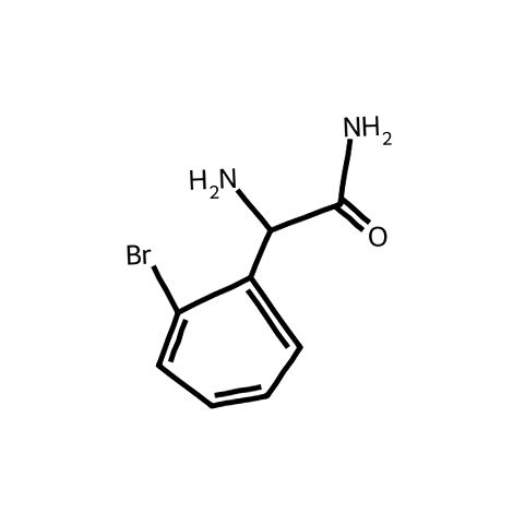 NC(=O)C(N)c1ccccc1Br